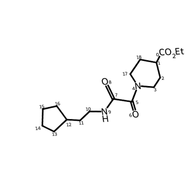 CCOC(=O)C1CCN(C(=O)C(=O)NCCC2CCCC2)CC1